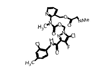 CNCC(=O)OCc1cccnc1N(C)C(=O)OCn1nc(C(=O)Nc2ccc(C)cc2Cl)c(F)c1Cl